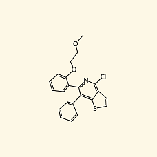 COCCOc1ccccc1-c1nc(Cl)c2ccsc2c1-c1ccccc1